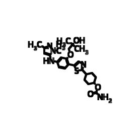 Cc1cc(Nc2ccc(-c3cnc(C4CCC(OC(N)=O)CC4)s3)c(OCC(C)(C)O)c2)n(C)n1